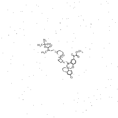 COC(=O)C(=O)c1ccc2c(c1)N(C[C@@H]1CC[C@H]1[C@@H]1C[C@H](CCN(C)C(=O)OC(C)(C)C)CCO1)C[C@@]1(CCCc3cc(Cl)ccc31)CO2